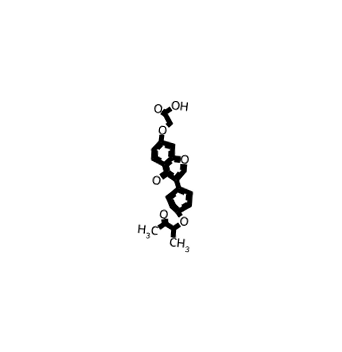 CC(=O)C(C)Oc1ccc(-c2coc3cc(OCC(=O)O)ccc3c2=O)cc1